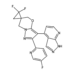 Fc1ccc(-c2nn3c(c2-c2ccnc4[nH]ncc24)OCC2(C3)CC2(F)F)nc1